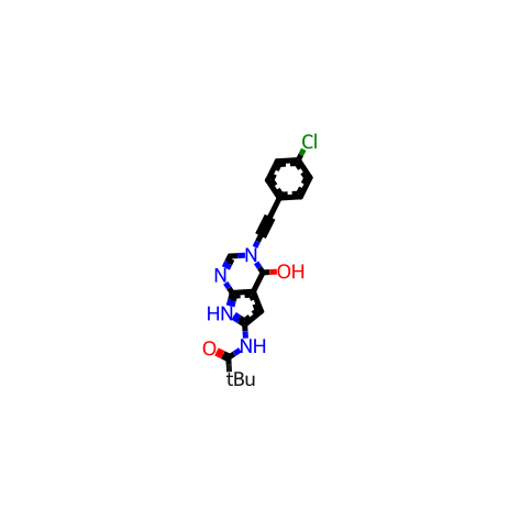 CC(C)(C)C(=O)Nc1cc2c([nH]1)N=CN(C#Cc1ccc(Cl)cc1)C2O